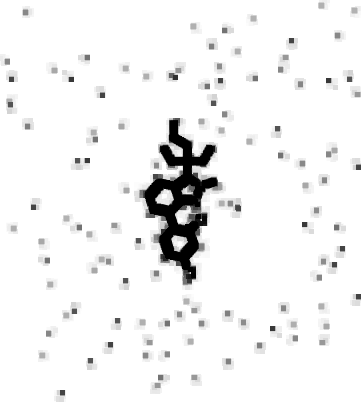 CCCC(CC)(CC)c1c2cccc(-c3ccc(Cl)cc3Cl)c2nn1C